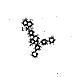 c1ccc(-c2ccc(N(c3ccc(-c4ccccc4)cc3)c3ccc(-c4ccc(Nc5cccc6ccccc56)cc4)c4ccccc34)cc2)cc1